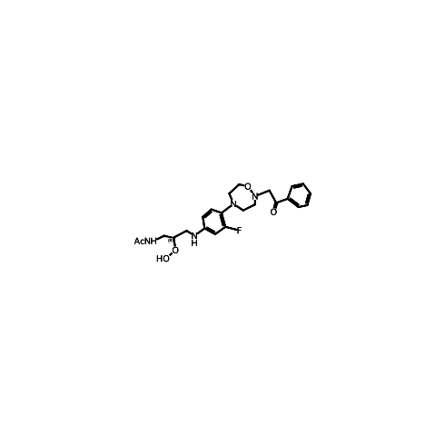 CC(=O)NC[C@@H](CNc1ccc(N2CCON(CC(=O)c3ccccc3)CC2)c(F)c1)OO